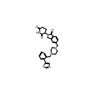 O=C1CCC(N2Cc3cc(CN4CCN(Cc5ccccc5-c5cncs5)CC4)ccc3C2=O)C(=O)N1